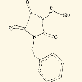 CC(C)(C)SN1C(=O)C(=O)N(Cc2ccccc2)C1=O